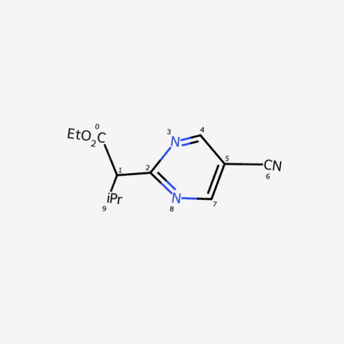 CCOC(=O)C(c1ncc(C#N)cn1)C(C)C